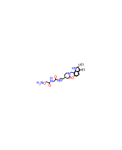 CCSc1[nH]c2c(CN3CCC(CCNC(=O)CNC(=O)CON)CC3)c(O)ccc2c1CC